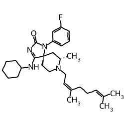 CC(C)=CCCC(C)=CCN1CC[C@@]2(C[C@@H]1C)C(NC1CCCCC1)=NC(=O)N2c1cccc(F)c1